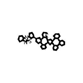 c1ccc2c(c1)nc1sc3c(-c4ccc5c6ccccc6c6cc7c8ccccc8c8ccccc8c8ccccc8c7cc6c6ccccc6c5c4)cccc3n12